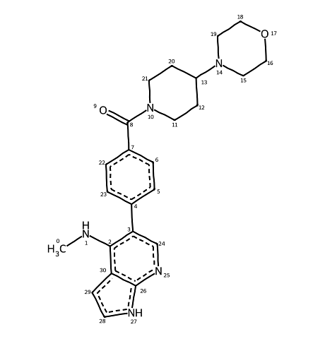 CNc1c(-c2ccc(C(=O)N3CCC(N4CCOCC4)CC3)cc2)cnc2[nH]ccc12